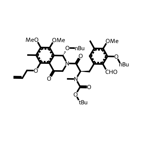 C=CCOc1c(C)c(OC)c(OC)c2c1C(=O)CN(C(=O)[C@@H](Cc1cc(C)c(OC)c(OCCCC)c1C=O)N(C)C(=O)OC(C)(C)C)[C@H]2OCCCC